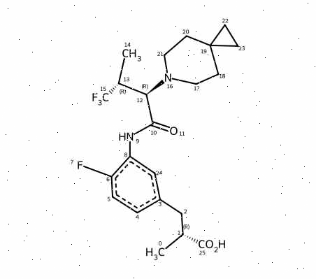 C[C@H](Cc1ccc(F)c(NC(=O)[C@@H]([C@@H](C)C(F)(F)F)N2CCC3(CC2)CC3)c1)C(=O)O